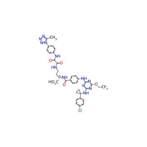 Cc1nnnn1-c1ccc(NC(=O)C(=O)NCC[C@H](NC(=O)c2ccc(Nc3nc(NC4(c5ccc(Cl)cc5)CC4)nc(OCC(F)(F)F)n3)cc2)C(=O)O)cc1